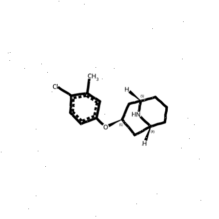 Cc1cc(O[C@@H]2C[C@H]3CCC[C@@H](C2)N3)ccc1Cl